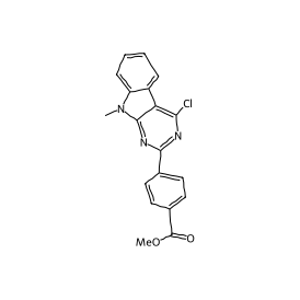 COC(=O)c1ccc(-c2nc(Cl)c3c4ccccc4n(C)c3n2)cc1